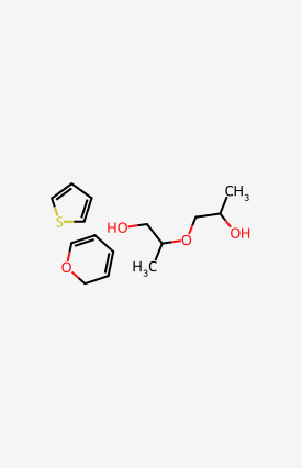 C1=CCOC=C1.CC(O)COC(C)CO.c1ccsc1